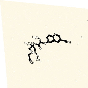 C#CCOCC(C)(/C=N/OC)NC(=O)C(Oc1ccc2ncc(C#C)cc2c1)SC